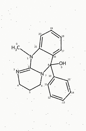 CN1C2=NCCCN2C(O)(c2ccccc2)c2ccccc21